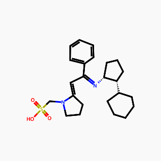 O=S(=O)(O)CN1CCCC1=CC(=N[C@@H]1CCC[C@@H]1C1CCCCC1)c1ccccc1